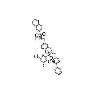 O=S(=O)(NCc1cccc(CN(Cc2ccc(-c3ccccc3)cc2)S(=O)(=O)c2cc(Cl)cc(Cl)c2O)c1)c1ccc2ccccc2c1